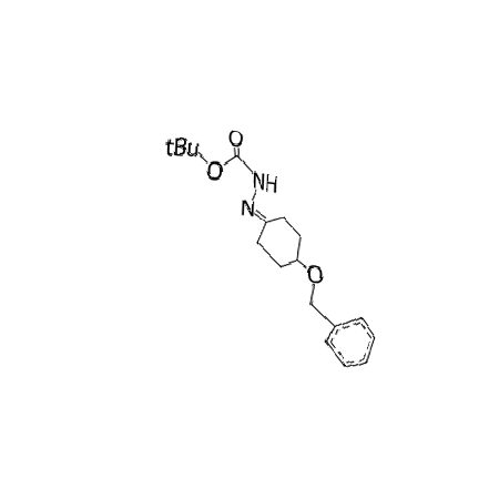 CC(C)(C)OC(=O)NN=C1CCC(OCc2ccccc2)CC1